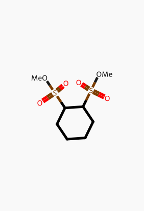 COS(=O)(=O)C1CCCCC1S(=O)(=O)OC